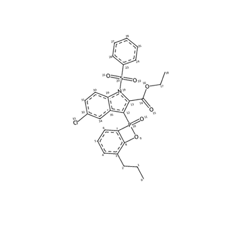 CCCc1cccc2c1OP2(=O)c1c(C(=O)OCC)n(S(=O)(=O)c2ccccc2)c2ccc(Cl)cc12